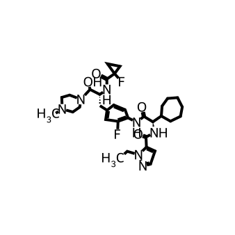 CCn1nccc1C(=O)N[C@H](C(=O)Nc1ccc(C[C@@H](NC(=O)C2(F)CC2)C(O)N2CCN(C)CC2)cc1F)C1CCCCCC1